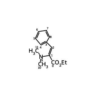 CCOC(=O)C(=Cc1ccccc1)N(C)C